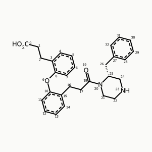 O=C(O)CCc1ccccc1Oc1ccccc1CCC(=O)N1CCNC[C@H]1Cc1ccccc1